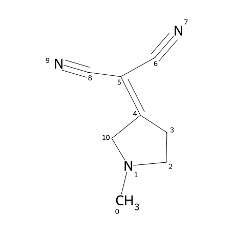 CN1CCC(=C(C#N)C#N)C1